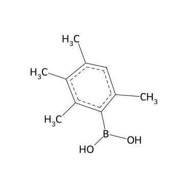 Cc1cc(C)c(B(O)O)c(C)c1C